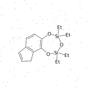 CC[Si]1(CC)Oc2ccc3c(c2O[Si](CC)(CC)O1)CC=C3